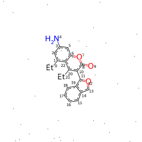 CCc1cc(N)cc2oc(=O)c(-c3occ4ccccc34)c(CC)c12